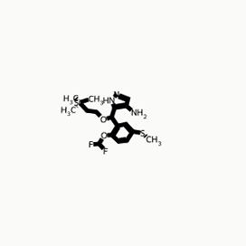 CSc1ccc(OC(F)F)c(C(OCC[Si](C)(C)C)c2[nH]ncc2N)c1